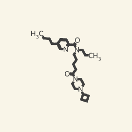 CCCCc1ccc(C(=O)N(CCC)CCCCC(=O)N2CCN(C3CCC3)CC2)nc1